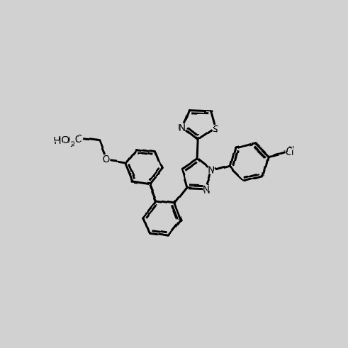 O=C(O)COc1cccc(-c2ccccc2-c2cc(-c3nccs3)n(-c3ccc(Cl)cc3)n2)c1